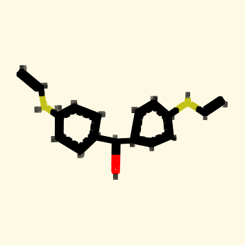 C=CSc1ccc(C(=O)c2ccc(SC=C)cc2)cc1